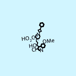 COc1ccc2ncc(Cl)c(C(O)CC[C@@H]3CCN(C4CC(c5ccccc5)C4)C[C@@H]3C(=O)O)c2c1